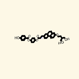 O=C(/C=C/c1ccc2c(c1)CCc1cc(OCCC(CO)CO)ccc1-2)Oc1ccc(OC(=O)c2ccc(O)cc2)cc1